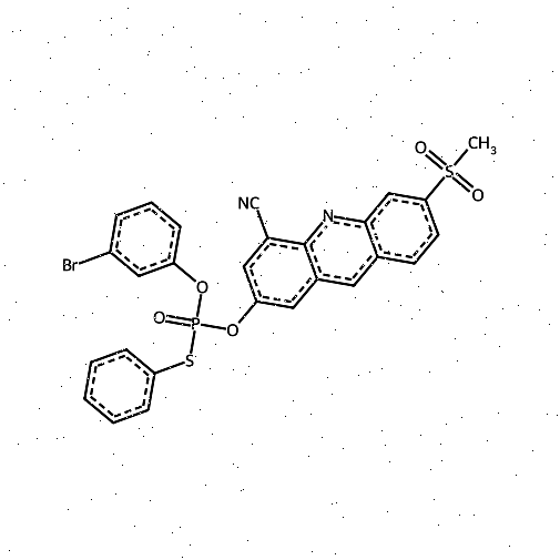 CS(=O)(=O)c1ccc2cc3cc(OP(=O)(Oc4cccc(Br)c4)Sc4ccccc4)cc(C#N)c3nc2c1